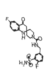 NS(=O)(=O)c1cc(CNC(=O)N2CCC3(CC2)CC(=O)c2cc(F)ccc2N3)ccc1F